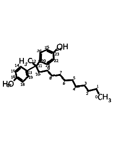 CCCCCCCCCCCC(C)(c1ccc(O)cc1)c1ccc(O)cc1